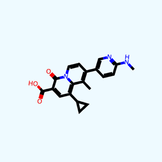 CNc1ccc(-c2ccn3c(=O)c(C(=O)O)cc(C4CC4)c3c2C)cn1